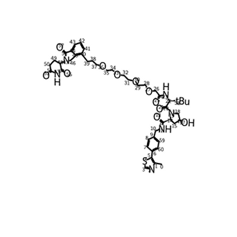 Cc1ncsc1-c1ccc(CNC(=O)[C@@H]2C[C@@H](O)CN2C(=O)[C@@H](NC(=O)COCCOCCOCCOCCCc2cccc3c2CN(C2CCC(=O)NC2=O)C3=O)C(C)(C)C)cc1